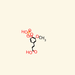 COc1cc(/C=C/C(=O)O)ccc1OP(=O)(O)O